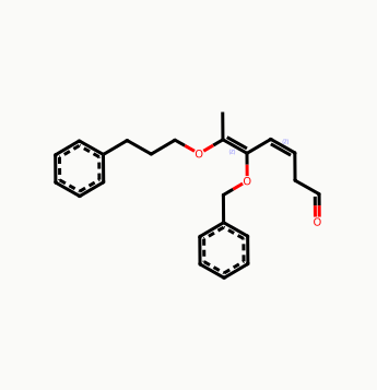 C/C(OCCCc1ccccc1)=C(\C=C/CC=O)OCc1ccccc1